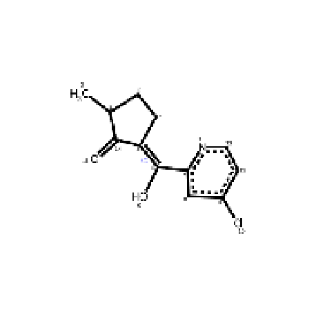 CC1CC/C(=C(/O)c2cc(Cl)ccn2)C1=O